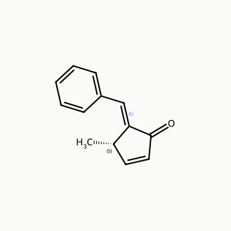 C[C@H]1C=CC(=O)/C1=C/c1ccccc1